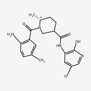 Cc1ccc(N)c(C(=O)N2CC(C(=O)Nc3cc(Cl)cnc3O)CC[C@H]2C)c1